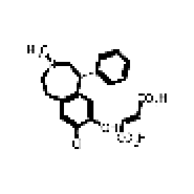 CN1CCc2cc(Cl)c(O)cc2[C@@H](c2ccccc2)C1.O=C(O)C=CC(=O)O